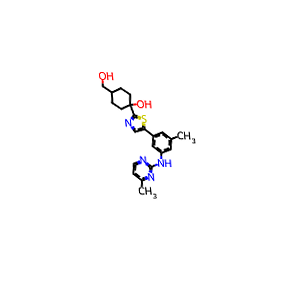 Cc1cc(Nc2nccc(C)n2)cc(-c2cnc(C3(O)CCC(CO)CC3)s2)c1